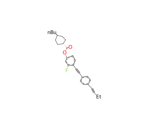 CCC#Cc1ccc(C#Cc2ccc(OC(=O)[C@H]3CC[C@H](CCCC)CC3)cc2F)cc1